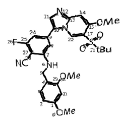 COc1ccc(CNc2cc(-c3cnc4cc(OC)c(S(=O)(=O)C(C)(C)C)cn34)cc(F)c2C#N)c(OC)c1